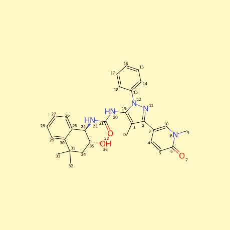 Cc1c(-c2ccc(=O)n(C)c2)nn(-c2ccccc2)c1NC(=O)N[C@@H]1c2ccccc2C(C)(C)C[C@H]1O